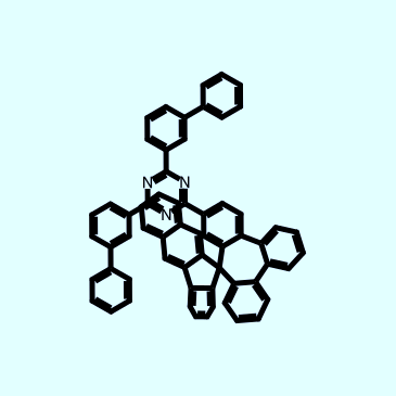 c1ccc(-c2cccc(-c3nc(-c4cccc(-c5ccccc5)c4)nc(-c4ccc5c(c4)C4(c6ccccc6-c6ccccc6-5)c5ccccc5-c5cc6ccccc6cc54)n3)c2)cc1